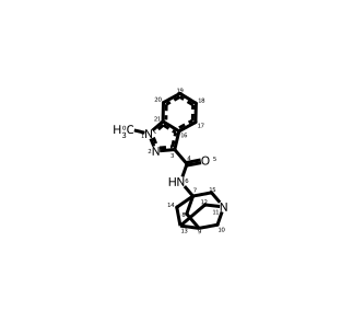 Cn1nc(C(=O)NC23CC4CN(CC4C2)C3)c2ccccc21